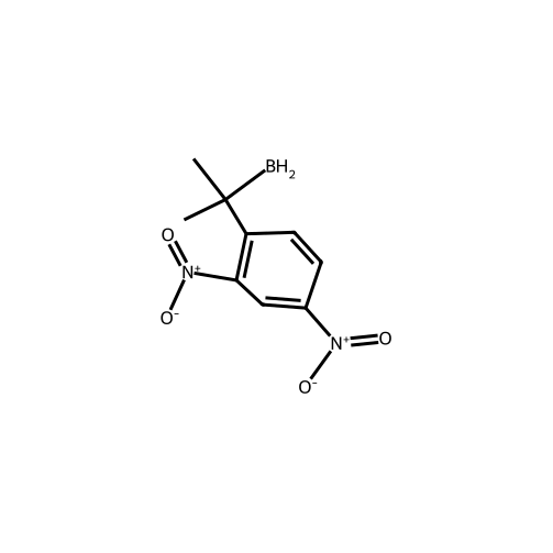 BC(C)(C)c1ccc([N+](=O)[O-])cc1[N+](=O)[O-]